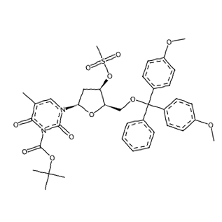 COc1ccc(C(OC[C@H]2O[C@@H](n3cc(C)c(=O)n(C(=O)OC(C)(C)C)c3=O)C[C@H]2OS(C)(=O)=O)(c2ccccc2)c2ccc(OC)cc2)cc1